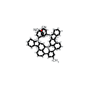 Cc1cc2c3c(c1)-c1cccc4c1c(cc1c4c4ccccc4n1-c1ccc(C#N)cc1)B3c1cc3c(c4cccc-2c14)c1ccccc1n3-c1ccc(C#N)cc1